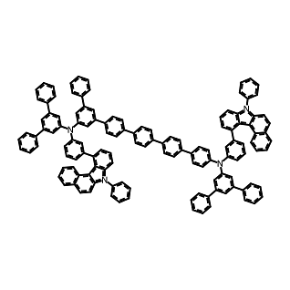 c1ccc(-c2cc(-c3ccccc3)cc(N(c3ccc(-c4ccc(-c5ccc(-c6ccc(-c7cc(-c8ccccc8)cc(N(c8cc(-c9ccccc9)cc(-c9ccccc9)c8)c8cccc(-c9cccc%10c9c9c%11ccccc%11ccc9n%10-c9ccccc9)c8)c7)cc6)cc5)cc4)cc3)c3cccc(-c4cccc5c4c4c6ccccc6ccc4n5-c4ccccc4)c3)c2)cc1